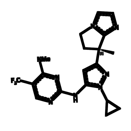 CNc1nc(Nc2cc([C@@]3(C)CCn4ccnc43)nn2C2CC2)ncc1C(F)(F)F